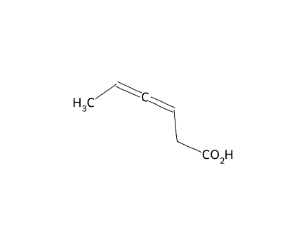 CC=C=CCC(=O)O